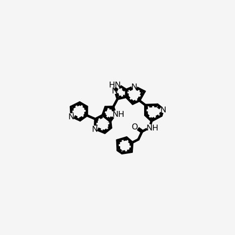 O=C(Cc1ccccc1)Nc1cncc(-c2cnc3[nH]nc(-c4cc5c(-c6cccnc6)nccc5[nH]4)c3c2)c1